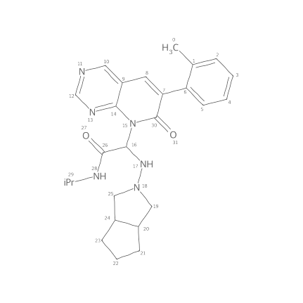 Cc1ccccc1-c1cc2cncnc2n(C(NN2CC3CCCC3C2)C(=O)NC(C)C)c1=O